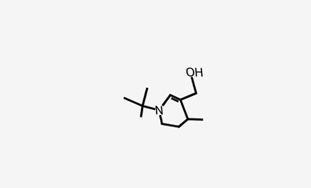 CC1CCN(C(C)(C)C)C=C1CO